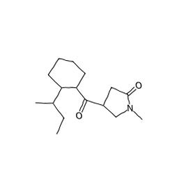 CCC(C)C1CCCCC1C(=O)C1CC(=O)N(C)C1